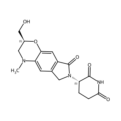 CN1C[C@@H](CO)Oc2cc3c(cc21)CN([C@H]1CCC(=O)NC1=O)C3=O